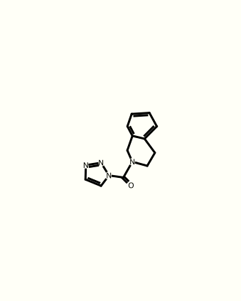 O=C(N1CCc2ccccc2C1)n1ccnn1